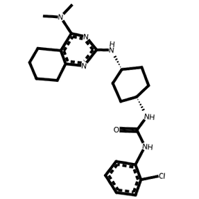 CN(C)c1nc(N[C@H]2CC[C@@H](NC(=O)Nc3ccccc3Cl)CC2)nc2c1CCCC2